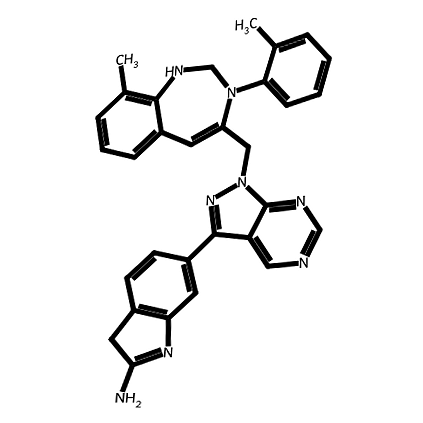 Cc1ccccc1N1CNc2c(C)cccc2C=C1Cn1nc(-c2ccc3c(c2)N=C(N)C3)c2cncnc21